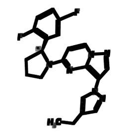 CCc1cnn(-c2cnn3ccc(N4CCC[C@H]4c4cc(F)ccc4F)nc23)c1